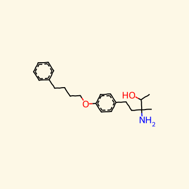 CC(O)C(C)(N)CCc1ccc(OCCCCc2ccccc2)cc1